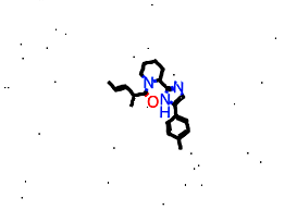 CC=CC(C)C(=O)N1CCCCC1c1ncc(-c2ccc(C)cc2)[nH]1